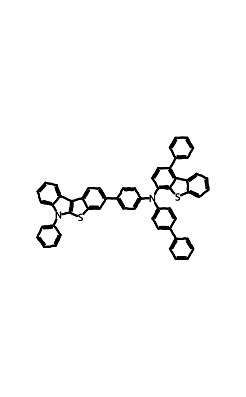 c1ccc(-c2ccc(N(c3ccc(-c4ccc5c(c4)sc4c5c5ccccc5n4-c4ccccc4)cc3)c3ccc(-c4ccccc4)c4c3sc3ccccc34)cc2)cc1